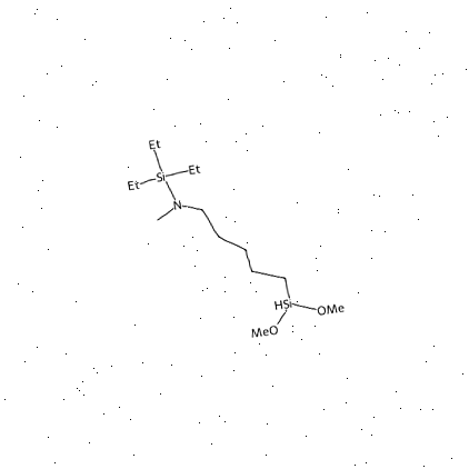 CC[Si](CC)(CC)N(C)CCCCC[SiH](OC)OC